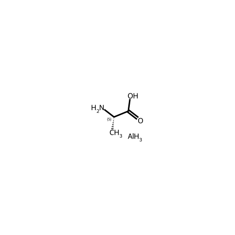 C[C@H](N)C(=O)O.[AlH3]